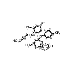 CC(C)C.CC(C)C.Nc1cc(F)ccc1[N+](=O)[O-].Nc1cc(Nc2ccc(C(F)(F)F)cc2)ncn1.O=C(O)O.O=C(O)O